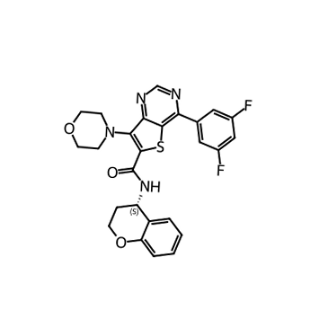 O=C(N[C@H]1CCOc2ccccc21)c1sc2c(-c3cc(F)cc(F)c3)ncnc2c1N1CCOCC1